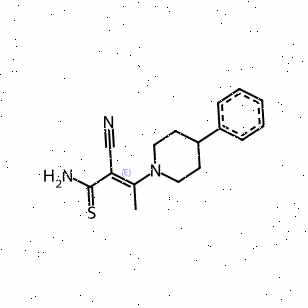 C/C(=C(/C#N)C(N)=S)N1CCC(c2ccccc2)CC1